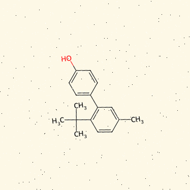 Cc1ccc(C(C)(C)C)c(-c2ccc(O)cc2)c1